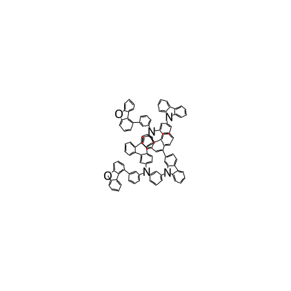 c1cc(-c2cccc3oc4ccccc4c23)cc(N(c2cccc(-n3c4ccccc4c4ccc(-c5cc6cccc(N(c7cccc(-c8cccc9oc%10ccccc%10c89)c7)c7cccc(-n8c9ccccc9c9ccccc98)c7)c6c6ccccc56)cc43)c2)c2ccc3c4ccccc4c4ccccc4c3c2)c1